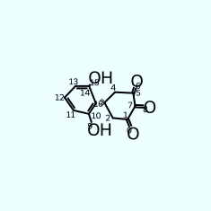 O=C1CCCC(=O)C1=O.Oc1cccc(O)c1